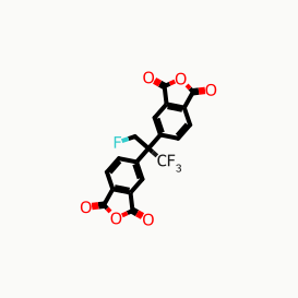 O=C1OC(=O)c2cc(C(CF)(c3ccc4c(c3)C(=O)OC4=O)C(F)(F)F)ccc21